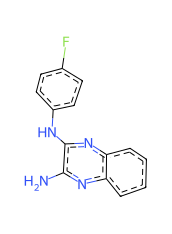 Nc1nc2ccccc2nc1Nc1ccc(F)cc1